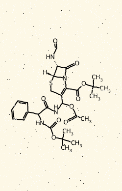 CC(=O)OC(NC(=O)C(NC(=O)OC(C)(C)C)c1ccccc1)C1=C(C(=O)OC(C)(C)C)N2C(=O)[C@@H](NC=O)[C@H]2SC1